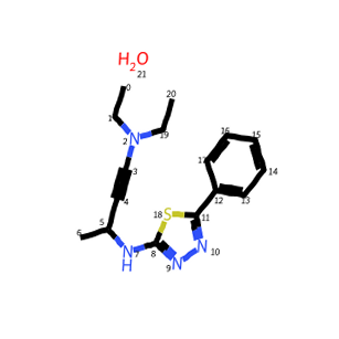 CCN(C#CC(C)Nc1nnc(-c2ccccc2)s1)CC.O